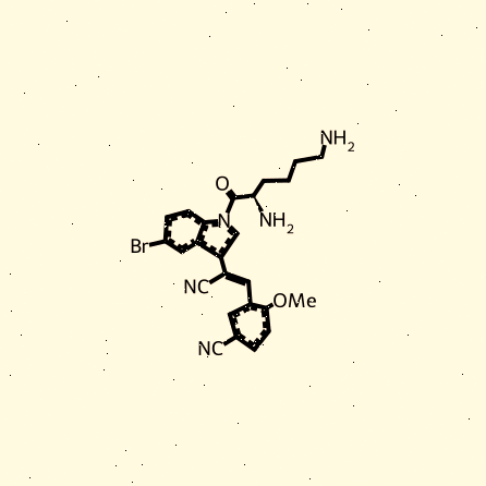 COc1ccc(C#N)cc1/C=C(\C#N)c1cn(C(=O)[C@H](N)CCCCN)c2ccc(Br)cc12